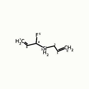 C=CC[SiH2]C(F)C=C